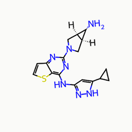 N[C@@H]1[C@H]2CN(c3nc(Nc4cc(C5CC5)[nH]n4)c4sccc4n3)C[C@@H]12